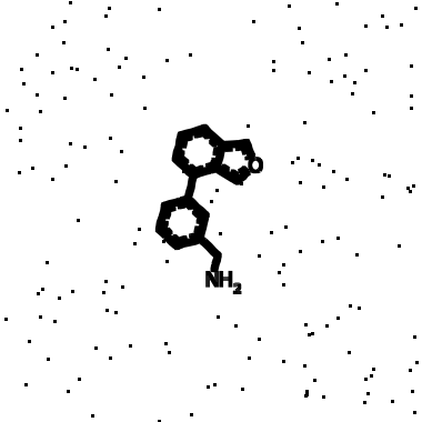 NCc1cccc(-c2cccc3cocc23)c1